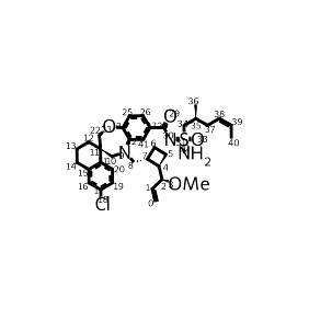 C=C[C@H](OC)[C@@H]1CC[C@H]1CN1C[C@@]2(CCCc3cc(Cl)ccc32)COc2ccc(C(=O)N=[S@@](N)(=O)C[C@@H](C)C/C=C\C)cc21